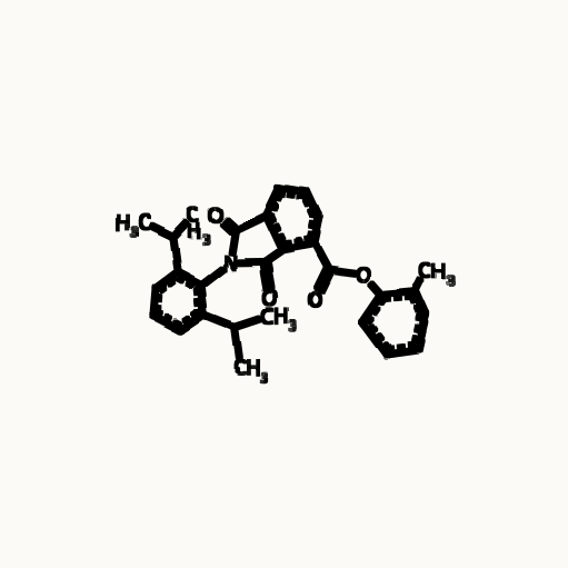 Cc1ccccc1OC(=O)c1cccc2c1C(=O)N(c1c(C(C)C)cccc1C(C)C)C2=O